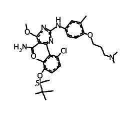 COc1nc(Nc2ccc(OCCCN(C)C)c(C)c2)nc(-c2c(Cl)ccc(O[Si](C)(C)C(C)(C)C)c2C)c1C(N)=O